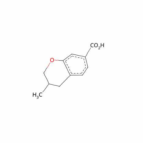 CC1COc2cc(C(=O)O)ccc2C1